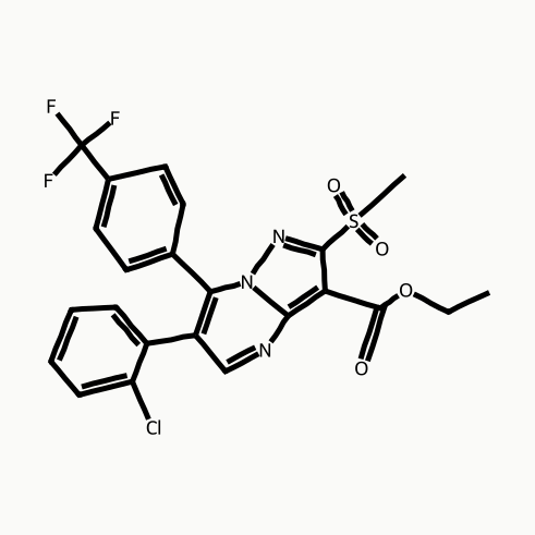 CCOC(=O)c1c(S(C)(=O)=O)nn2c(-c3ccc(C(F)(F)F)cc3)c(-c3ccccc3Cl)cnc12